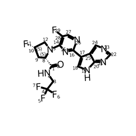 O=C(NCC(F)(F)F)[C@@H]1C[C@H](F)CN1c1nc(-c2c[nH]c3ncncc23)ncc1F